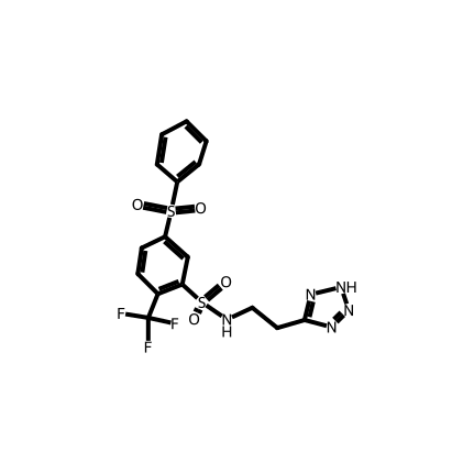 O=S(=O)(NCCc1nn[nH]n1)c1cc(S(=O)(=O)c2ccccc2)ccc1C(F)(F)F